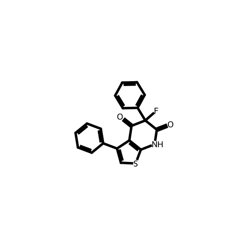 O=C1Nc2scc(-c3ccccc3)c2C(=O)C1(F)c1ccccc1